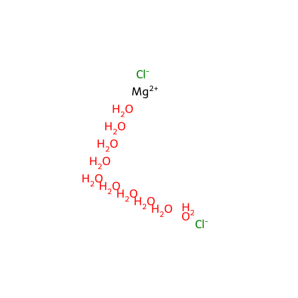 O.O.O.O.O.O.O.O.O.O.[Cl-].[Cl-].[Mg+2]